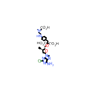 C#C[C@@H]1C[C@H](n2cnc3c(N)nc(Cl)nc32)O[C@@H]1COC(Cc1ccc(NCCN(C)CC(=O)O)cc1)(C(=O)O)C(=O)O